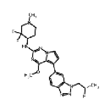 COc1nc(N[C@@H]2CCN(C)CC2(F)F)nn2ccc(-c3ccc4nnn(C[C@H](C)F)c4c3)c12